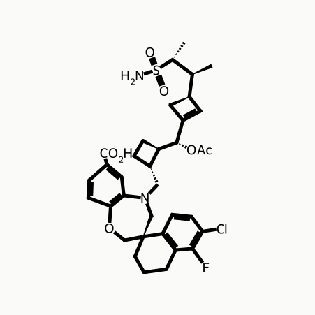 CC(=O)O[C@@H](C1=C[C@H]([C@H](C)[C@@H](C)S(N)(=O)=O)C1)[C@@H]1CC[C@H]1CN1C[C@@]2(CCCc3c2ccc(Cl)c3F)COc2ccc(C(=O)O)cc21